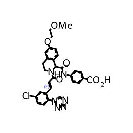 COCCOc1ccc2c(c1)CCN(C(=O)/C=C/c1cc(Cl)ccc1-n1cnnn1)C2C(=O)Nc1ccc(C(=O)O)cc1